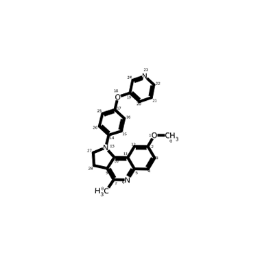 COc1ccc2nc(C)c3c(c2c1)N(c1ccc(Oc2cccnc2)cc1)CC3